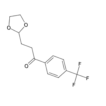 O=C(CCC1OCCO1)c1ccc(C(F)(F)F)cc1